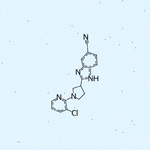 N#Cc1ccc2[nH]c(C3CCN(c4ncccc4Cl)C3)nc2c1